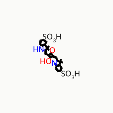 CC1(C)C(/C=C2/C(=O)C(/C=C3/Nc4ccc(S(=O)(=O)O)cc4C3(C)C)=C2O)=Nc2ccc(S(=O)(=O)O)cc21